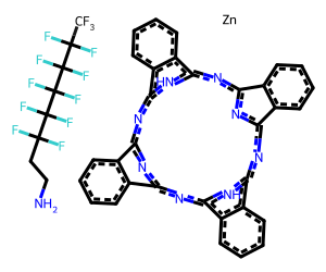 NCCC(F)(F)C(F)(F)C(F)(F)C(F)(F)C(F)(F)C(F)(F)F.[Zn].c1ccc2c(c1)-c1nc-2nc2[nH]c(nc3nc(nc4[nH]c(n1)c1ccccc41)-c1ccccc1-3)c1ccccc21